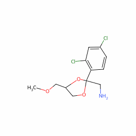 COCC1COC(CN)(c2ccc(Cl)cc2Cl)O1